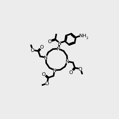 COC(=O)CN1CCN(CC(=O)OC)CCN(N(C(C)=O)c2ccc(N)cc2)CCN(CC(=O)OC)CC1